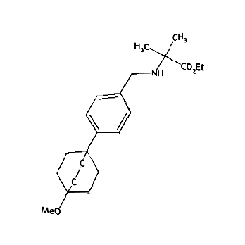 CCOC(=O)C(C)(C)NCc1ccc(C23CCC(OC)(CC2)CC3)cc1